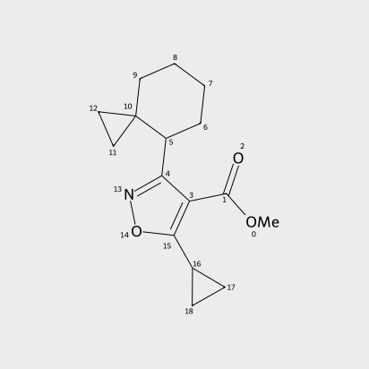 COC(=O)c1c(C2CCCCC23CC3)noc1C1CC1